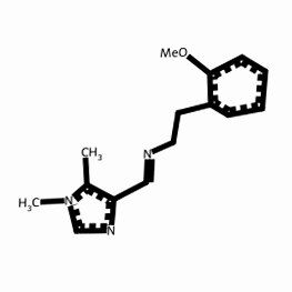 COc1ccccc1CCN=Cc1ncn(C)c1C